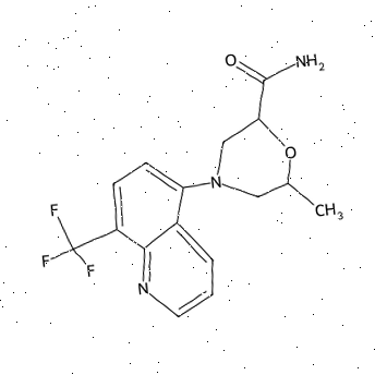 CC1CN(c2ccc(C(F)(F)F)c3ncccc23)CC(C(N)=O)O1